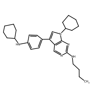 CCCCNc1ncc2c(-c3ccc(NC4CCCCC4)cc3)cn(C3CCCCC3)c2n1